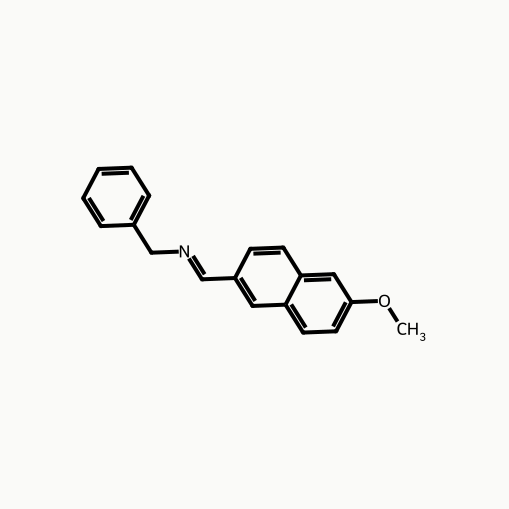 COc1ccc2cc(C=NCc3ccccc3)ccc2c1